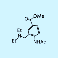 CCN(CC)Cc1cc(C(=O)OC)ccc1NC(C)=O